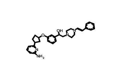 Nc1cccc(C2CCC(Oc3cccc(C(O)CN4CCN(C=Cc5ccccc5)CC4)c3)C2)n1